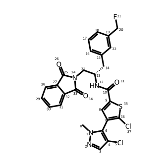 Cn1ncc(Cl)c1-c1cc(C(=O)N[C@@H](Cc2cccc(CF)c2)CN2C(=O)c3ccccc3C2=O)sc1Cl